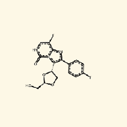 O=c1[nH]cc(F)c2nc(-c3ccc(F)cc3)c([C@@H]3CO[C@@H](CO)O3)n12